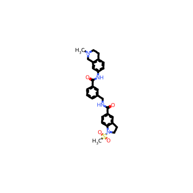 CN1CCc2ccc(NC(=O)c3cccc(CNC(=O)c4ccc5c(c4)CCN5S(C)(=O)=O)c3)cc2C1